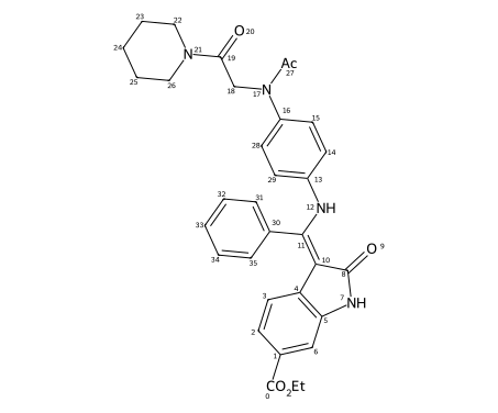 CCOC(=O)c1ccc2c(c1)NC(=O)/C2=C(\Nc1ccc(N(CC(=O)N2CCCCC2)C(C)=O)cc1)c1ccccc1